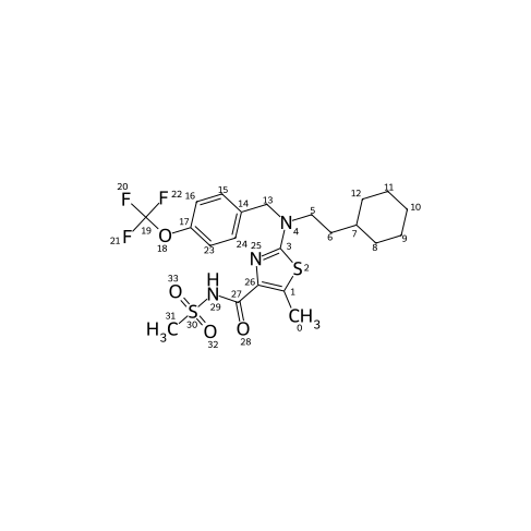 Cc1sc(N(CCC2CCCCC2)Cc2ccc(OC(F)(F)F)cc2)nc1C(=O)NS(C)(=O)=O